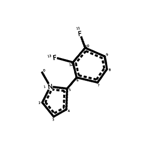 Cn1[c]ccc1-c1cccc(F)c1F